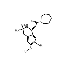 COc1cc2c(cc1N)/C(=C/C(=O)C1CCCCCC1)NC(C)(C)C2